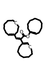 O=C(OC1=CCCCCCCCC1)C(=CC1=CCCCCCCCC1)C1=CCCCCCCCC1